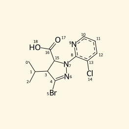 CC(C)C1C(Br)=NN(c2ncccc2Cl)C1C(=O)O